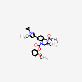 COc1ccccc1OC(=O)N1C[C@H](C)N(C(C)=O)c2ccc(-c3cc(C)n(C4CC4)c3)cc21